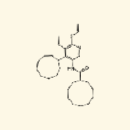 C=CSc1ncc(NC(=O)C2CCCCCCCCC2)c(C2CCCCCCCC2)c1C=C